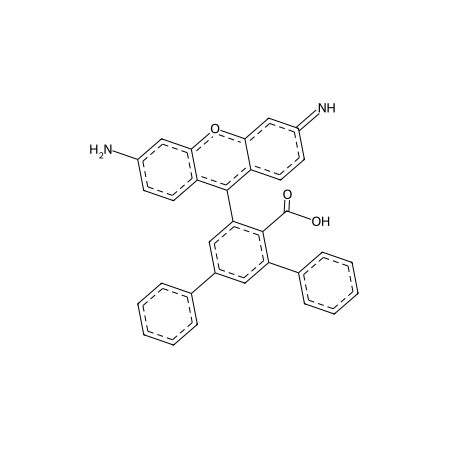 N=c1ccc2c(-c3cc(-c4ccccc4)cc(-c4ccccc4)c3C(=O)O)c3ccc(N)cc3oc-2c1